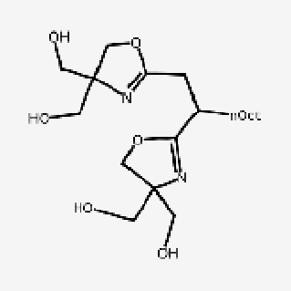 CCCCCCCCC(CC1=NC(CO)(CO)CO1)C1=NC(CO)(CO)CO1